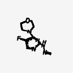 C=NNc1ncc(F)c(N2CCOCC2)n1